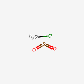 O=S=O.[SiH3]Cl